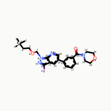 C[Si](C)(C)CCOCn1nc(I)c2cc(-c3cccc(C(=O)N4CCOCC4)c3)cnc21